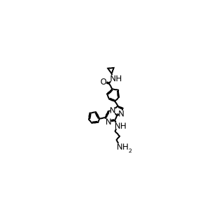 NCCCNc1nc(-c2ccccc2)cn2c(-c3ccc(C(=O)NC4CC4)cc3)cnc12